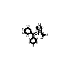 BC(c1ccccc1)c1ccccc1.c1cn(C2CC2)cn1